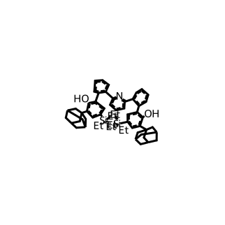 CC[Si](CC)(CC)c1cc(-c2ccccc2-c2cccc(-c3ccccc3-c3cc([Si](CC)(CC)CC)cc(C45CC6CC(CC(C6)C4)C5)c3O)n2)c(O)c(C23CC4CC(CC(C4)C2)C3)c1